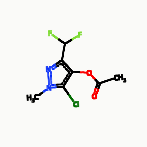 CC(=O)Oc1c(C(F)F)nn(C)c1Cl